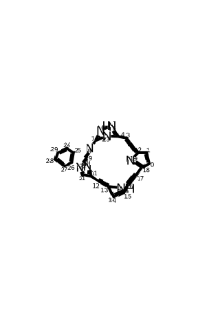 C1=Cc2cc3nnc(nc4nc(cc5ccc(cc1n2)[nH]5)C=N4)[nH]3.c1ccccc1